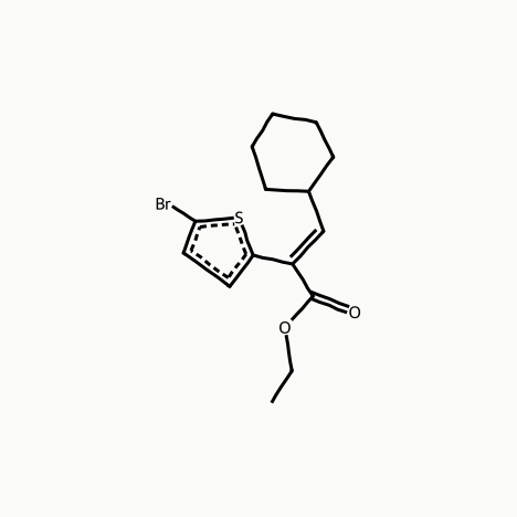 CCOC(=O)C(=CC1CCCCC1)c1ccc(Br)s1